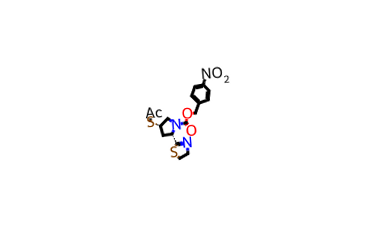 CC(=O)S[C@H]1C[C@@H](C2=NCCS2)N(C(=O)OCc2ccc([N+](=O)[O-])cc2)C1